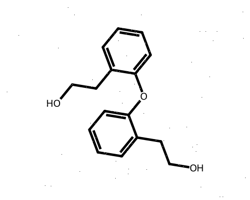 OCCc1ccccc1Oc1ccccc1CCO